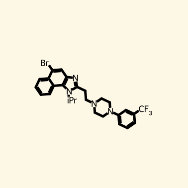 CC(C)n1c(CCN2CCN(c3cccc(C(F)(F)F)c3)CC2)nc2cc(Br)c3ccccc3c21